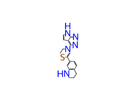 C1=C(c2ccc3c(c2)NCCC3)SCCN1c1ncnc2[nH]ccc12